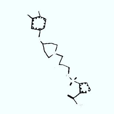 COC(=O)c1sccc1S(=O)(=O)NC[C@H](O)CN1CCC(Oc2ccc(Cl)c(Cl)c2)CC1